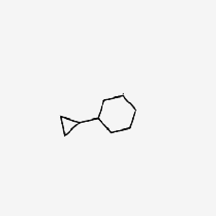 [CH]1CCCC(C2CC2)C1